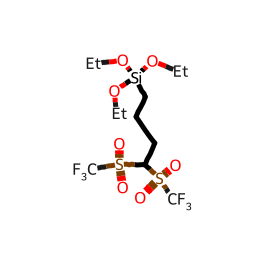 CCO[Si](CCCC(S(=O)(=O)C(F)(F)F)S(=O)(=O)C(F)(F)F)(OCC)OCC